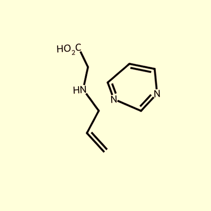 C=CCNCC(=O)O.c1cncnc1